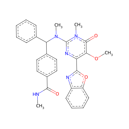 CNC(=O)c1ccc(C(c2ccccc2)N(C)c2nc(-c3nc4ccccc4o3)c(OC)c(=O)n2C)cc1